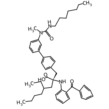 CCCCCCCNC(=O)N(C)c1cccc(-c2ccc(C[C@](CC(CC)CCCC)(Nc3ccccc3C(=O)c3ccccc3)C(=O)O)cc2)c1